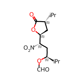 CC(C)[C@H](C[C@@H]([C@@H]1C[C@@H](C(C)C)C(=O)O1)[N+](=O)[O-])OC=O